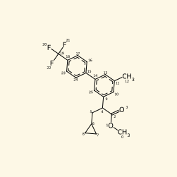 COC(=O)C(CC1CC1)c1cc(C)cc(-c2ccc(C(F)(F)F)cc2)c1